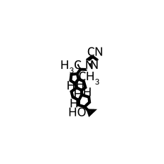 C[C@@H](Cn1cc(C#N)cn1)C1CC[C@H]2[C@@H]3CC[C@@H]4C[C@@](O)(C5CC5)CC[C@@H]4[C@H]3CC[C@]12C